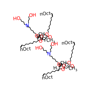 CCCCCCCC/C=C\CCCCCCCCOC(=O)C(C)(C)CC(OCCCCCCCC/C=C\CCCCCCCC)O[Si](C)(C)OCCCCCCN(CCCCO)CCCCO.CCCCCCCC/C=C\CCCCCCCCOC(=O)C(C)(C)CC(OCCCCCCCC/C=C\CCCCCCCC)O[Si](C)(C)OCCCCCCN(CCCCO)CCCCO